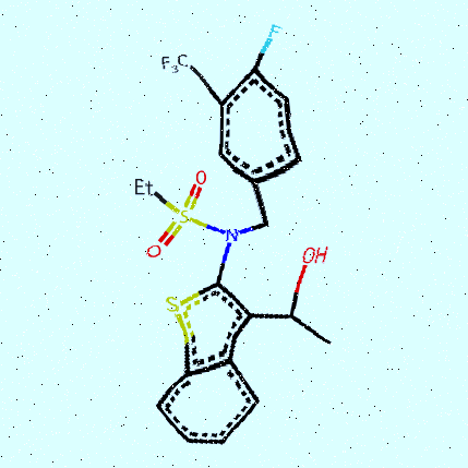 CCS(=O)(=O)N(Cc1ccc(F)c(C(F)(F)F)c1)c1sc2ccccc2c1C(C)O